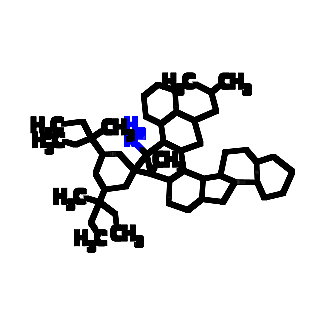 CCC(C)(CC)C1CC(C(C)(CC)CC)CC2(C1)C1(C)C3CCC4CC5C6CCCCC6CCC5C4C3C3CC(CC(C)C)C4CCCCC4C3C21N